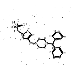 CS(=O)(=O)Nc1nc(CN2CCN(C(c3ccccc3)c3ccccc3)CC2)cs1